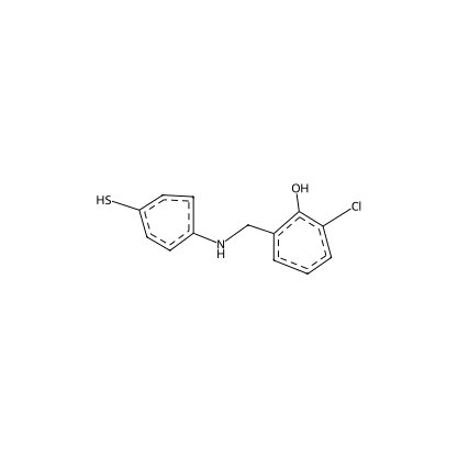 Oc1c(Cl)cccc1CNc1ccc(S)cc1